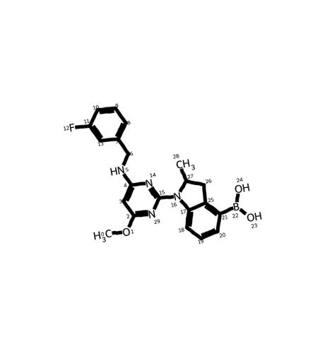 COc1cc(NCc2cccc(F)c2)nc(N2c3cccc(B(O)O)c3CC2C)n1